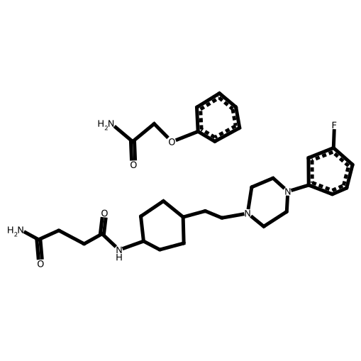 NC(=O)CCC(=O)NC1CCC(CCN2CCN(c3cccc(F)c3)CC2)CC1.NC(=O)COc1ccccc1